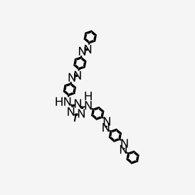 Cc1nc(Nc2ccc(N=Nc3ccc(N=Nc4ccccc4)cc3)cc2)nc(Nc2ccc(N=Nc3ccc(N=Nc4ccccc4)cc3)cc2)n1